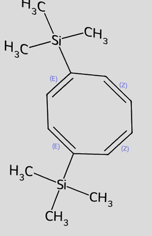 C[Si](C)(C)C1=C/C=C([Si](C)(C)C)\C=C/C=C\1